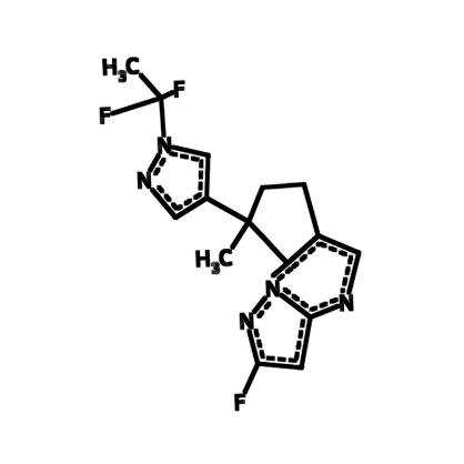 CC1(c2cnn(C(C)(F)F)c2)CCc2cnc3cc(F)nn3c21